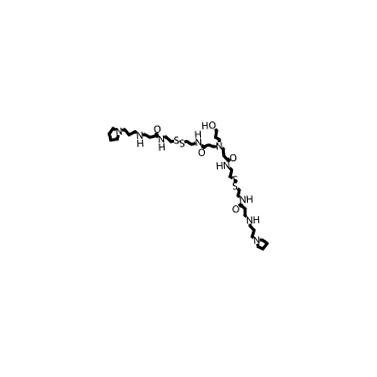 O=C(CCNCCCN1CCCC1)NCCSSCCNC(=O)CCN(CCCO)CCC(=O)NCCSSCCNC(=O)CCNCCCN1CCCC1